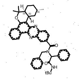 C[C@H]1CC[C@H]2[C@H](C1)c1c(c3ccccc3c3nc4cc(C(=O)N(Cc5ccccc5)C(C(=O)NC(C)(C)C)c5ccccc5)ccc4nc13)OC2(C)C